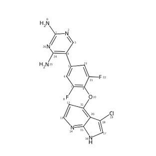 Nc1ncc(-c2cc(F)c(Oc3ccnc4[nH]cc(Cl)c34)c(F)c2)c(N)n1